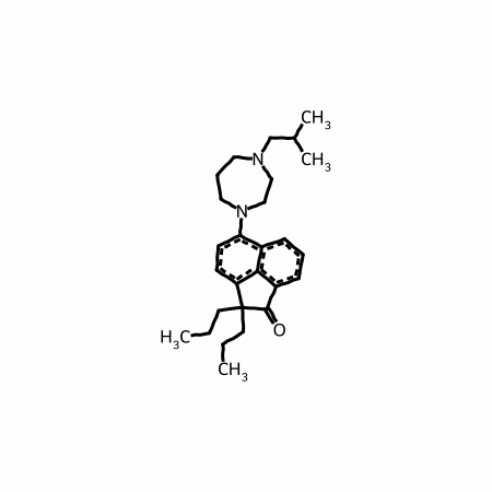 CCCC1(CCC)C(=O)c2cccc3c(N4CCCN(CC(C)C)CC4)ccc1c23